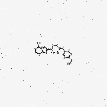 CCSc1ncc(CN2CCN(c3nc4c(F)cccc4o3)CC2)cn1